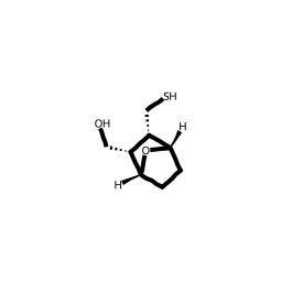 OC[C@@H]1[C@H](CS)[C@@H]2CC[C@H]1O2